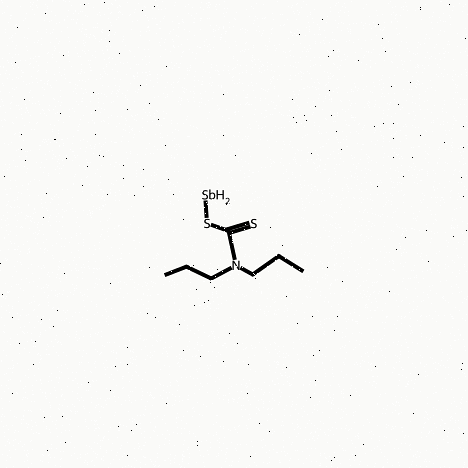 CCCN(CCC)C(=S)[S][SbH2]